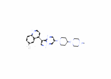 CC(=O)Nc1ccc2nccc(-c3cnn4cc(N5CCC(N6CCN(C)CC6)CC5)cnc34)c2c1